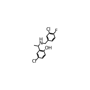 CC(NCc1ccc(F)c(Cl)c1)c1cc(Cl)ccc1O